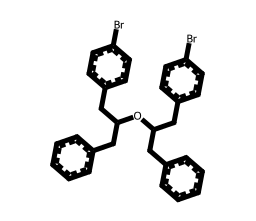 Brc1ccc(CC(Cc2ccccc2)OC(Cc2ccccc2)Cc2ccc(Br)cc2)cc1